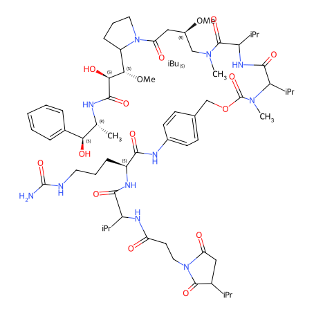 CC[C@H](C)C([C@@H](CC(=O)N1CCCC1[C@H](OC)[C@H](O)C(=O)N[C@H](C)[C@@H](O)c1ccccc1)OC)N(C)C(=O)C(NC(=O)C(C(C)C)N(C)C(=O)OCc1ccc(NC(=O)[C@H](CCCNC(N)=O)NC(=O)C(NC(=O)CCN2C(=O)CC(C(C)C)C2=O)C(C)C)cc1)C(C)C